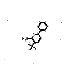 Bc1nc(-c2ccccc2)ccc1C(C)(C)C